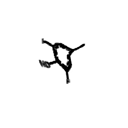 Cc1cc(F)c(O)c(I)c1